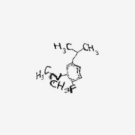 CC(C)c1ccc(F)c(N(C)C)c1